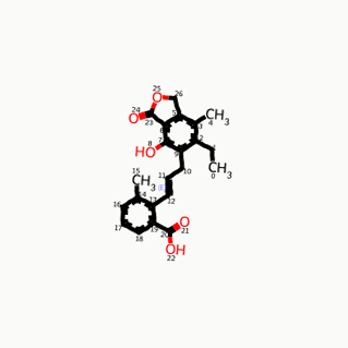 CCc1c(C)c2c(c(O)c1C/C=C/c1c(C)cccc1C(=O)O)C(=O)OC2